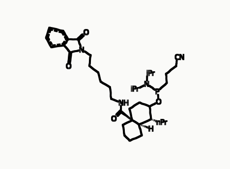 CCC[C@H]1C(OP(CCCC#N)N(C(C)C)C(C)C)CC[C@@]2(C(=O)NCCCCCCN3C(=O)c4ccccc4C3=O)CCCC[C@H]12